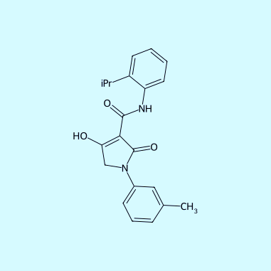 Cc1cccc(N2CC(O)=C(C(=O)Nc3ccccc3C(C)C)C2=O)c1